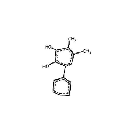 Cc1cc(-c2ccccc2)c(O)c(O)c1C